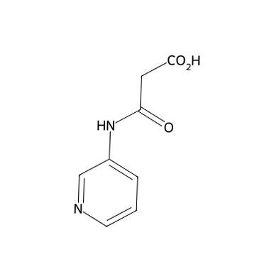 O=C(O)CC(=O)Nc1cccnc1